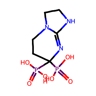 O=P(O)(O)C1(P(=O)(O)O)CCN2CCNC2=N1